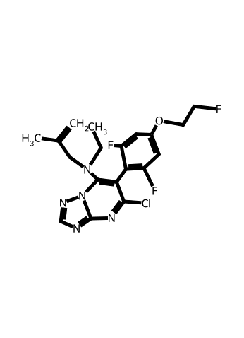 C=C(C)CN(CC)c1c(-c2c(F)cc(OCCF)cc2F)c(Cl)nc2ncnn12